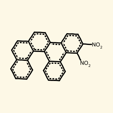 O=[N+]([O-])c1ccc2c3ccc4ccc5ccccc5c4c3c3ccccc3c2c1[N+](=O)[O-]